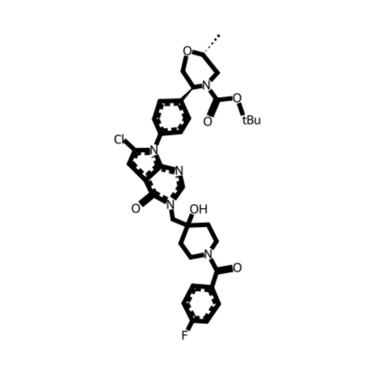 C[C@@H]1CN(C(=O)OC(C)(C)C)[C@@H](c2ccc(-n3c(Cl)cc4c(=O)n(CC5(O)CCN(C(=O)c6ccc(F)cc6)CC5)cnc43)cc2)CO1